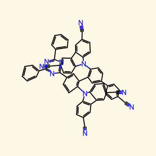 N#Cc1ccc(-c2ccc(-n3c4ccc(C#N)cc4c4cc(C#N)ccc43)c(-c3cc(-c4nc(-c5ccccc5)nc(-c5ccccc5)n4)ccc3-n3c4ccc(C#N)cc4c4cc(C#N)ccc43)c2)cc1